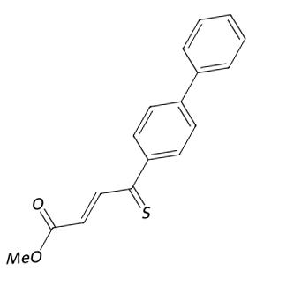 COC(=O)/C=C/C(=S)c1ccc(-c2ccccc2)cc1